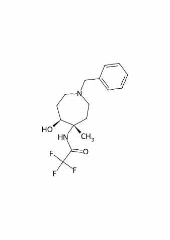 C[C@]1(NC(=O)C(F)(F)F)CCN(Cc2ccccc2)CC[C@@H]1O